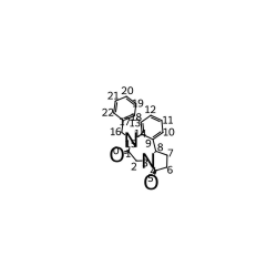 O=C1CN2C(=O)CCC2c2ccccc2N1Cc1ccccc1